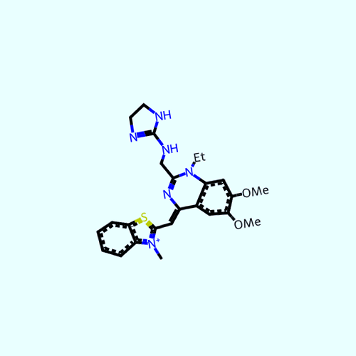 CCN1C(CNC2=NCCN2)=NC(=Cc2sc3ccccc3[n+]2C)c2cc(OC)c(OC)cc21